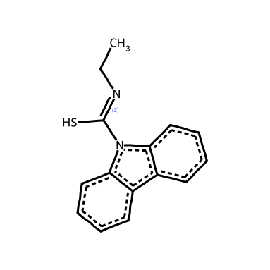 CC/N=C(\S)n1c2ccccc2c2ccccc21